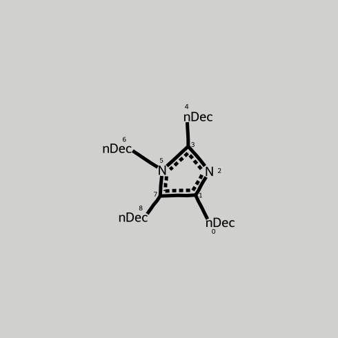 CCCCCCCCCCc1nc(CCCCCCCCCC)n(CCCCCCCCCC)c1CCCCCCCCCC